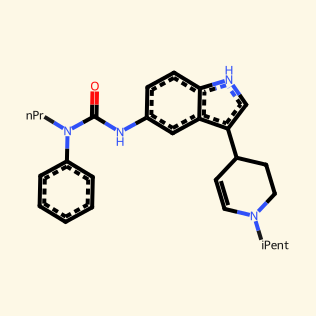 CCCC(C)N1C=CC(c2c[nH]c3ccc(NC(=O)N(CCC)c4ccccc4)cc23)CC1